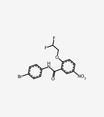 O=C(Nc1ccc(Br)cc1)c1cc([N+](=O)[O-])ccc1OCC(F)F